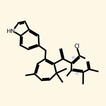 C=C(C)/C(C)=C(C)\C(C(=C)C1=C(Cc2ccc3[nH]ccc3c2)C=C(C)C=CC1(C)C)=C(/C)Cl